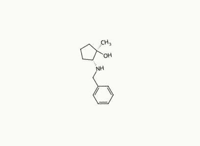 C[C@@]1(O)CCC[C@H]1NCc1ccccc1